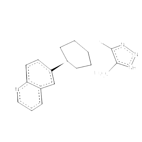 O=C(O)c1[nH]nnc1S[C@H]1CC[C@H](c2ccc3ncccc3c2)CC1